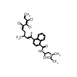 C=C/C(Cl)=C(Cl)\C(Cl)=C/CC(/C=C(\F)c1ccc(C(=O)NC(C=O)CN(C)CC(F)(F)F)c2ccccc12)C(F)(F)F